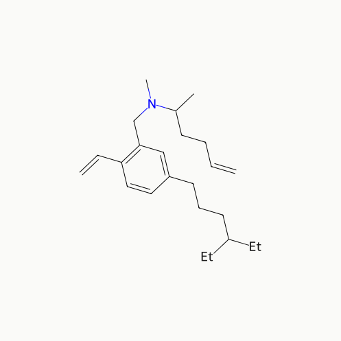 C=CCCC(C)N(C)Cc1cc(CCCC(CC)CC)ccc1C=C